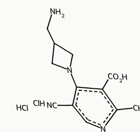 Cc1ncc(C#N)c(N2CC(CN)C2)c1C(=O)O.Cl.Cl